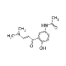 CC(=O)Nc1ccc(O)c(C(=O)C=CN(C)C)c1